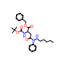 CCCCCNN(C(=O)CC(NC(=O)OC(C)(C)C)C(=O)OCc1ccccc1)c1ccccc1